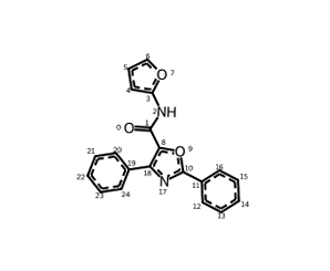 O=C(Nc1ccco1)c1oc(-c2ccccc2)nc1-c1ccccc1